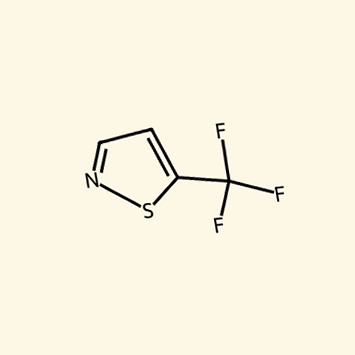 FC(F)(F)c1ccns1